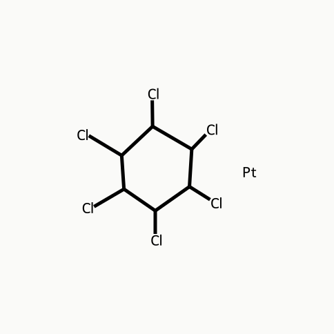 ClC1C(Cl)C(Cl)C(Cl)C(Cl)C1Cl.[Pt]